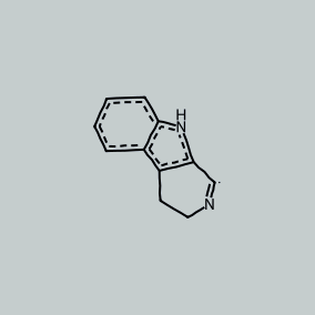 [C]1=NCCc2c1[nH]c1ccccc21